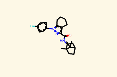 CC1(C)C2CCC1(C)C(NC(=O)c1nn(-c3ccc(F)cc3)c3c1CCCC3)C2